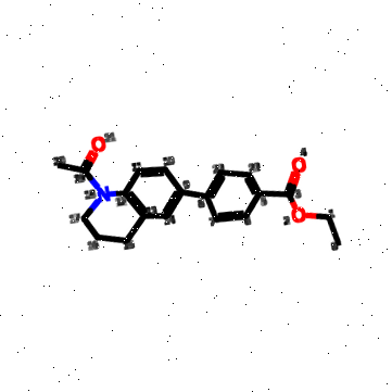 CCOC(=O)c1ccc(-c2ccc3c(c2)CCCN3C(C)=O)cc1